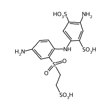 Nc1ccc(Nc2cc(S(=O)(=O)O)c(N)cc2S(=O)(=O)O)c(S(=O)(=O)CCS(=O)(=O)O)c1